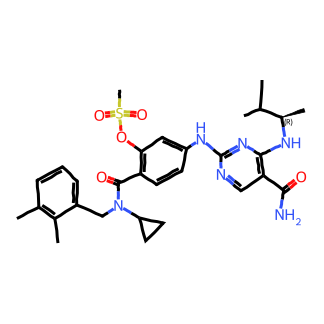 Cc1cccc(CN(C(=O)c2ccc(Nc3ncc(C(N)=O)c(N[C@H](C)C(C)C)n3)cc2OS(C)(=O)=O)C2CC2)c1C